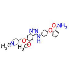 COc1cc2c(Nc3ccc(Oc4ccccc4C(N)=O)cc3)ncnc2cc1OCC1CCN(C)CC1